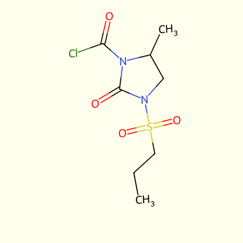 CCCS(=O)(=O)N1CC(C)N(C(=O)Cl)C1=O